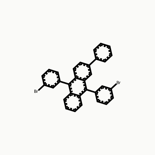 Brc1cccc(-c2c3ccccc3c(-c3cccc(Br)c3)c3cc(-c4ccccc4)ccc23)c1